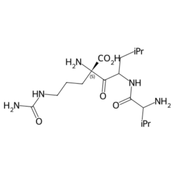 CC(C)CC(NC(=O)C(N)C(C)C)C(=O)[C@@](N)(CCCNC(N)=O)C(=O)O